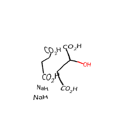 O=C(O)CC(=O)O.O=C(O)CC(O)C(=O)O.[NaH].[NaH]